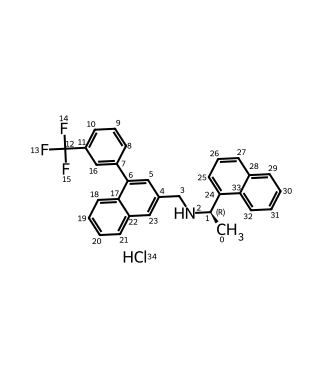 C[C@@H](NCc1cc(-c2cccc(C(F)(F)F)c2)c2ccccc2c1)c1cccc2ccccc12.Cl